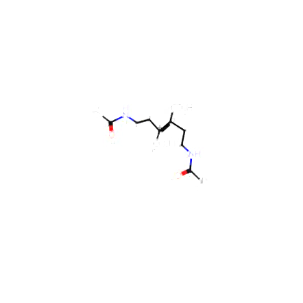 CC(C)C(=O)NCC/C(C(=O)O)=C(/CCNC(=O)C(C)C)C(=O)O